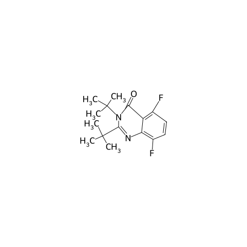 CC(C)(C)c1nc2c(F)ccc(F)c2c(=O)n1C(C)(C)C